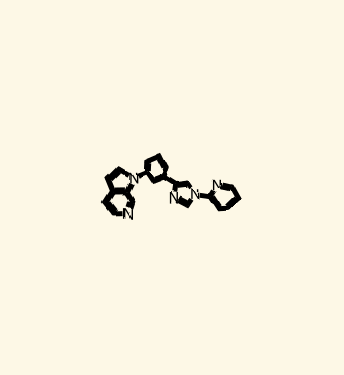 c1ccc(-n2cnc(-c3cccc(-n4ccc5ccncc54)c3)c2)nc1